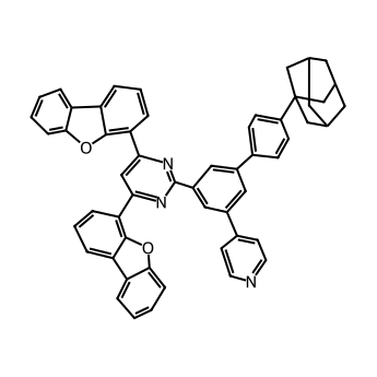 c1ccc2c(c1)oc1c(-c3cc(-c4cccc5c4oc4ccccc45)nc(-c4cc(-c5ccncc5)cc(-c5ccc(C67CC8CC(CC(C8)C6)C7)cc5)c4)n3)cccc12